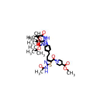 CCOC(=O)C1CCN(C(=O)c2sc(NC(C)=O)nc2CCc2ccc(NC3(NC(=O)OC(C)(C)C)NC(=O)C4(OC(C)(C)C)C(C3=O)C4(C)C)cc2)CC1